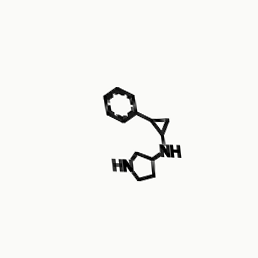 c1ccc(C2CC2NC2CCNC2)cc1